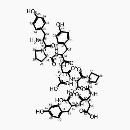 CC(C)[C@H](NC(=O)[C@H](CC(=O)O)NC(=O)[C@H](Cc1ccc(O)cc1)NC(=O)[C@@H]1CCCN1C(=O)[C@@H](N)Cc1ccc(O)cc1)C(=O)N1CCC[C@H]1C(=O)N[C@@H](CC(=O)O)C(=O)N[C@@H](Cc1ccc(O)cc1)C(=O)O